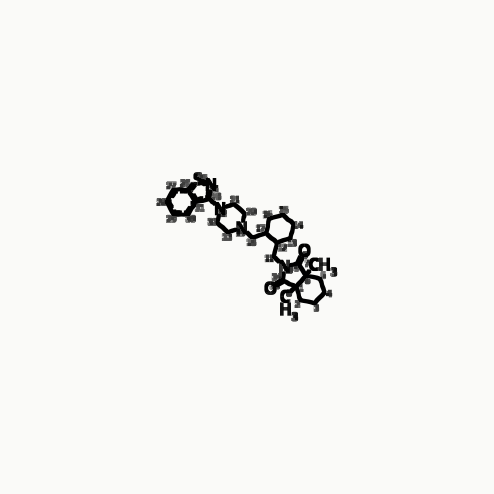 CC12CCCCC1(C)C(=O)N(CC1CCCCC1CN1CCN(c3nsc4ccccc34)CC1)C2=O